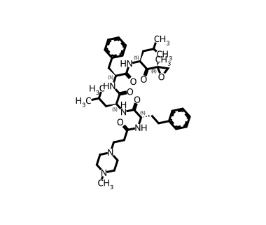 CC(C)C[C@H](NC(=O)[C@H](CCc1ccccc1)NC(=O)CCN1CCN(C)CC1)C(=O)N[C@@H](Cc1ccccc1)C(=O)N[C@@H](CC(C)C)C(=O)[C@@]1(C)CO1